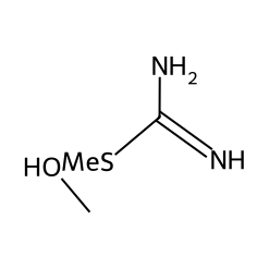 CO.CSC(=N)N